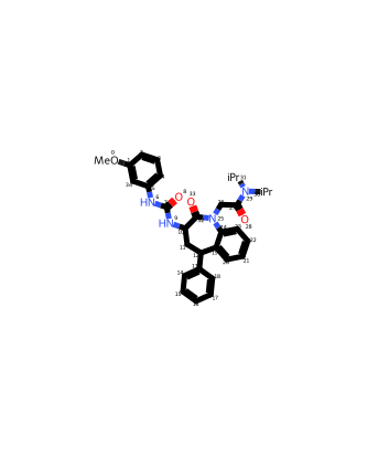 COc1cccc(NC(=O)NC2CC(c3ccccc3)c3ccccc3N(CC(=O)N(C(C)C)C(C)C)C2=O)c1